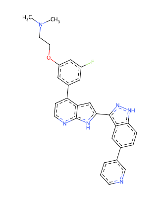 CN(C)CCOc1cc(F)cc(-c2ccnc3[nH]c(-c4n[nH]c5ccc(-c6cccnc6)cc45)cc23)c1